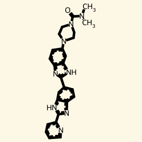 CN(C)C(=O)N1CCN(c2ccc3nc(-c4ccc5nc(-c6ccccn6)[nH]c5c4)[nH]c3c2)CC1